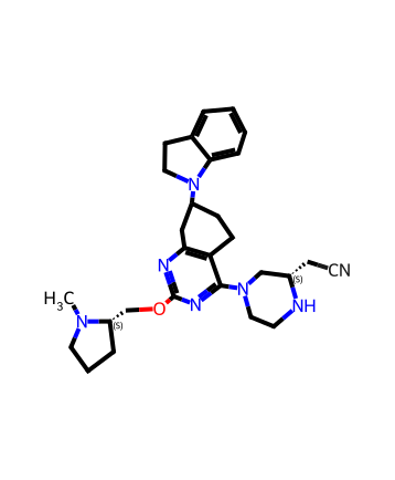 CN1CCC[C@H]1COc1nc2c(c(N3CCN[C@@H](CC#N)C3)n1)CCC(N1CCc3ccccc31)C2